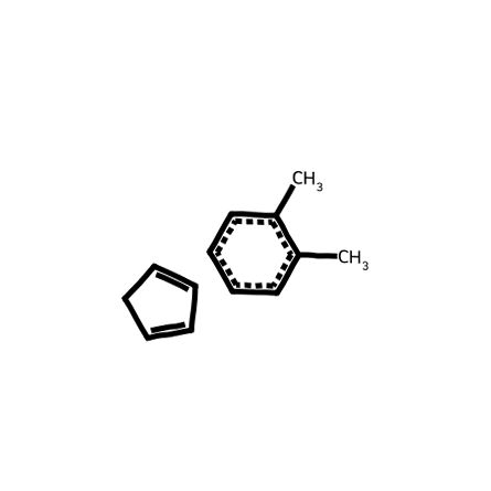 C1=CCC=C1.Cc1ccccc1C